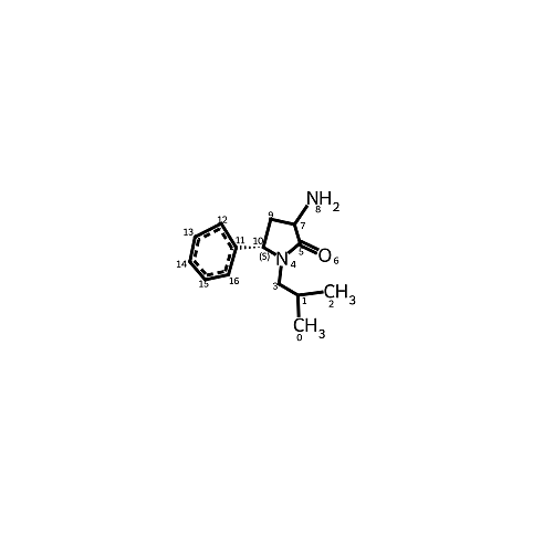 CC(C)CN1C(=O)C(N)C[C@H]1c1ccccc1